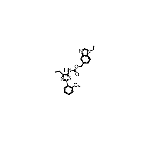 CCc1nc(-c2ccccc2OC)sc1NC(=O)OCc1ccc2c(c1)ncn2CC